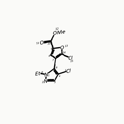 CCn1ncc(Cl)c1-c1cc(C(=O)OC)oc1Cl